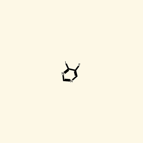 Fc1cncnc1I